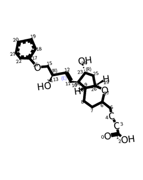 O=C(O)CCCC1CC[C@@H]2[C@@H](/C=C/[C@@H](O)COc3ccccc3)[C@H](O)C[C@@H]2O1